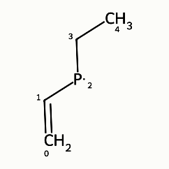 C=C[P]CC